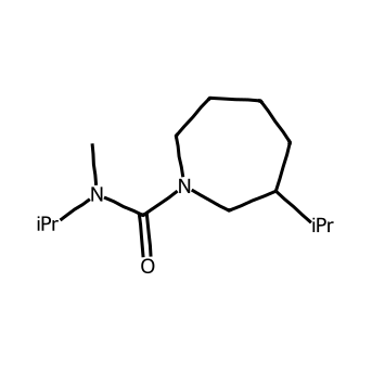 CC(C)C1CCCCN(C(=O)N(C)C(C)C)C1